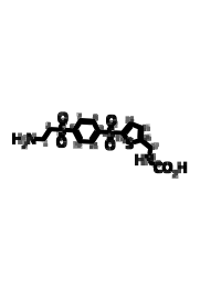 NCCS(=O)(=O)c1ccc(S(=O)(=O)c2ccc(CNC(=O)O)s2)cc1